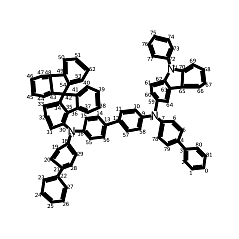 c1ccc(-c2ccc(N(c3ccc(-c4ccc(N(c5ccc(-c6ccccc6)cc5)c5cccc6c5-c5ccccc5C65c6ccccc6-c6ccccc65)cc4)cc3)c3ccc4c(c3)c3ccccc3n4-c3ccccc3)cc2)cc1